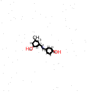 CC1=CC(/C=C/c2ccc(O)cc2)=CC(O)C1